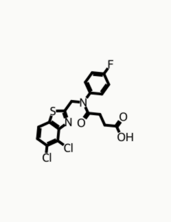 O=C(O)CCC(=O)N(Cc1nc2c(Cl)c(Cl)ccc2s1)c1ccc(F)cc1